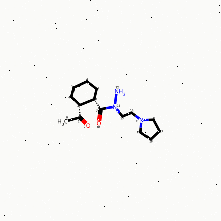 CC(=O)[C@@H]1CCCC[C@@H]1C(=O)N(N)CCN1CCCC1